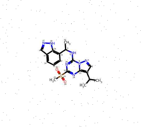 CC(C)c1cnn2c(NC(C)c3cccc4cn[nH]c34)nc(S(C)(=O)=O)nc12